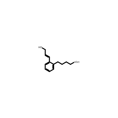 CCCCCCCCCCCCc1ccccc1C=CCO